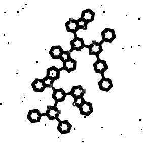 c1ccc(-c2ccc(-c3cc(-c4ccccc4)nc(-c4cc(-c5ccnc6c5oc5ccccc56)cc(-n5c6ccccc6c6c(-c7ccc8c9ccccc9n(-c9cc(-c%10nc(-c%11ccccc%11)cc(-c%11ccccc%11)n%10)cc(-c%10ccnc%11c%10oc%10ccccc%10%11)c9)c8c7)cccc65)c4)n3)cc2)cc1